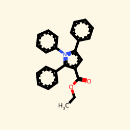 CCOC(=O)c1cc(-c2ccccc2)n(-c2ccccc2)c1-c1ccccc1